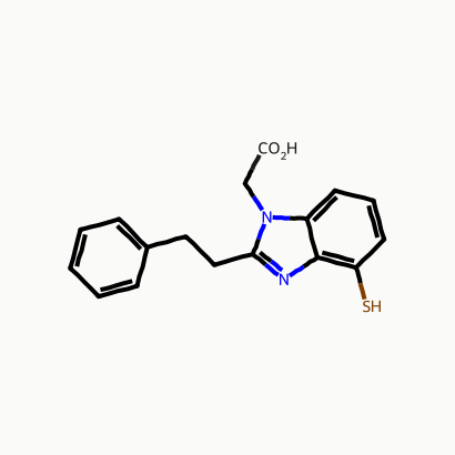 O=C(O)Cn1c(CCc2ccccc2)nc2c(S)cccc21